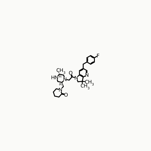 C[C@@H]1CN(CC(=O)N2CC(C)(C)c3ncc(Cc4ccc(F)cc4)cc32)[C@@H](CN2CCCCC2=O)CN1